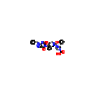 O=C(O)N1CCN(C(=O)N2CCC(O)(Cn3cnc4c(cnn4Cc4ccccc4)c3=O)C3(CCCC3)C2)[C@H](c2ccccc2)C1